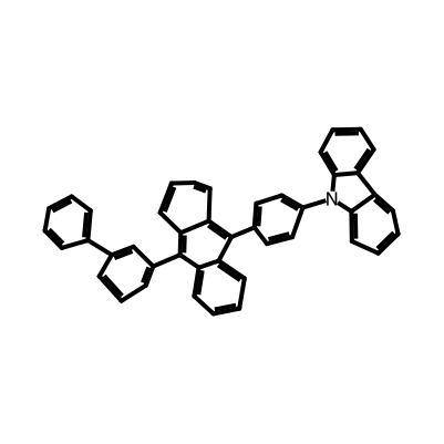 c1ccc(-c2cccc(-c3c4ccccc4c(-c4ccc(-n5c6ccccc6c6ccccc65)cc4)c4ccccc34)c2)cc1